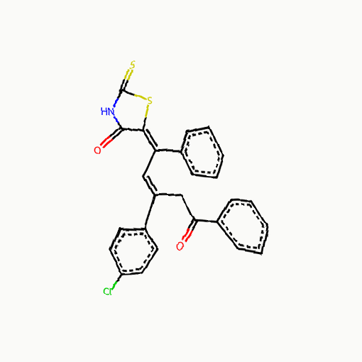 O=C1NC(=S)S/C1=C(/C=C(\CC(=O)c1ccccc1)c1ccc(Cl)cc1)c1ccccc1